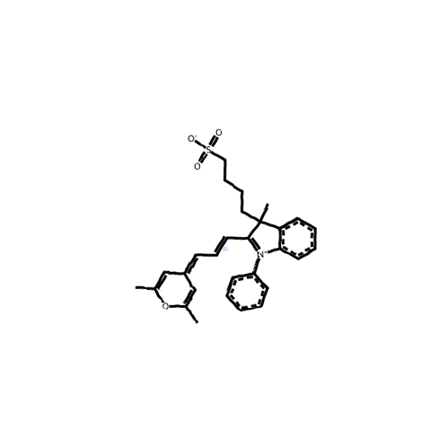 CC1=CC(=C/C=C/C2=[N+](c3ccccc3)c3ccccc3C2(C)CCCCS(=O)(=O)[O-])C=C(C)O1